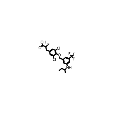 CCC(C)Nc1cc(COc2c(Cl)cc(CC(F)C(=O)O)cc2Cl)cc(C(F)(F)F)c1